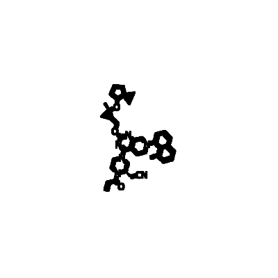 C=CC(=O)N1CCN(c2nc(OCC3C[C@]3(C)OC3CCCC34CC4)nc3c2CCN(c2cccc4cccc(C)c24)C3)C[C@@H]1CC#N